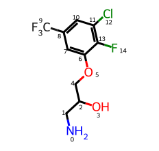 NCC(O)COc1cc(C(F)(F)F)cc(Cl)c1F